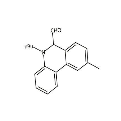 CCCCN1c2ccccc2-c2cc(C)ccc2C1C=O